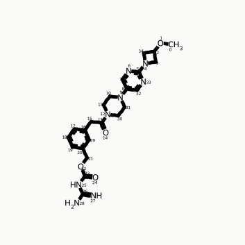 COC1CN(c2ncc(N3CCN(C(=O)Cc4cccc(COC(=O)NC(=N)N)c4)CC3)cn2)C1